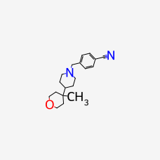 CC1(C2CCN(Cc3ccc(C#N)cc3)CC2)CCOCC1